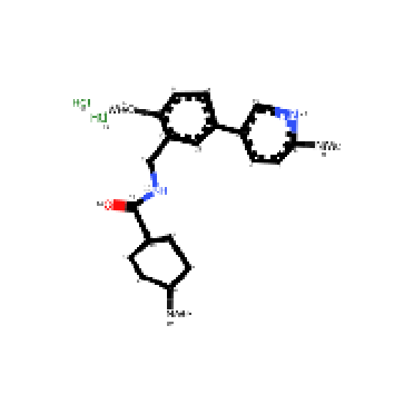 CNc1ccc(-c2ccc(OC)c(CNC(=O)C3CCC(NC)CC3)c2)cn1.Cl.Cl